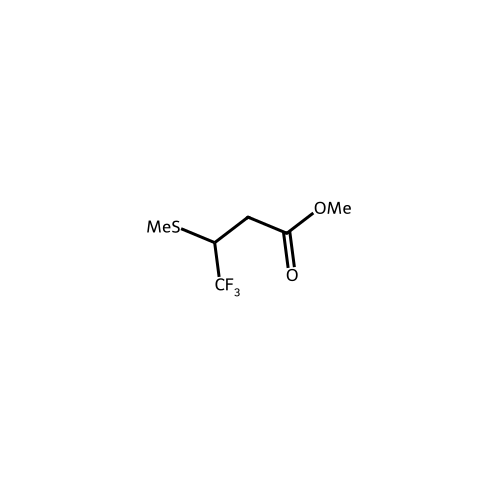 COC(=O)CC(SC)C(F)(F)F